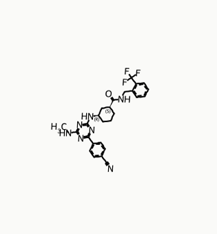 CNc1nc(N[C@@H]2CCC[C@H](C(=O)NCc3ccccc3C(F)(F)F)C2)nc(-c2ccc(C#N)cc2)n1